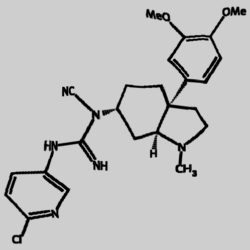 COc1ccc([C@@]23CC[C@@H](N(C#N)C(=N)Nc4ccc(Cl)nc4)C[C@@H]2N(C)CC3)cc1OC